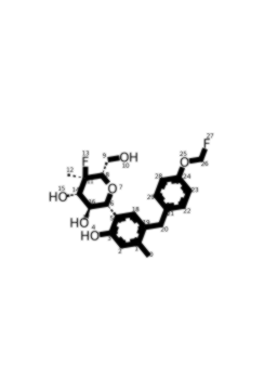 Cc1cc(O)c([C@H]2O[C@@H](CO)[C@](C)(F)[C@@H](O)[C@@H]2O)cc1Cc1ccc(OCF)cc1